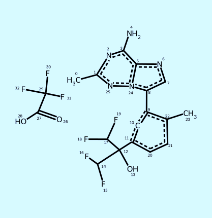 Cc1nc(N)c2ncc(-c3cc(C(O)(C(F)F)C(F)F)ccc3C)n2n1.O=C(O)C(F)(F)F